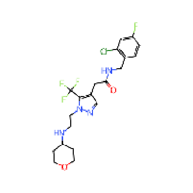 O=C(Cc1cnn(CCNC2CCOCC2)c1C(F)(F)F)NCc1ccc(F)cc1Cl